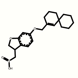 O=S(O)CC1COc2cc(OCC3=CC4(CCCCC4)CCC3)ccc21